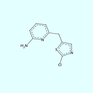 Nc1cccc(Cc2cnc(Cl)s2)n1